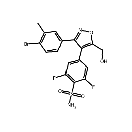 Cc1cc(-c2noc(CO)c2-c2cc(F)c(S(N)(=O)=O)c(F)c2)ccc1Br